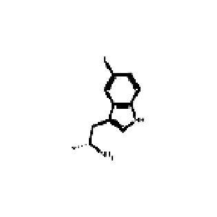 C[C@@H](N)Cc1c[nH]c2ccc(I)cc12